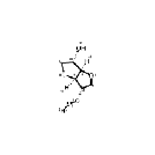 [3H]SO[C@H]1CO[C@H]2[C@@H]1OC[C@@H]2O